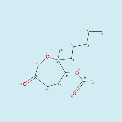 CCCCCC1(C)OCC(=O)CCC1OC(C)=O